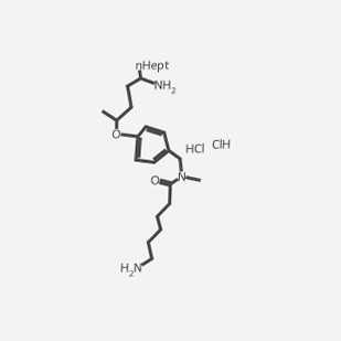 CCCCCCCC(N)CCC(C)Oc1ccc(CN(C)C(=O)CCCCCN)cc1.Cl.Cl